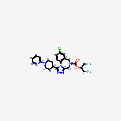 O=C(OC(CF)CF)N1Cc2cc(Cl)ccc2-n2c(nnc2C2CCN(c3ccccn3)CC2)C1